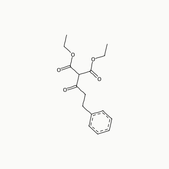 CCOC(=O)C(C(=O)CCc1ccccc1)C(=O)OCC